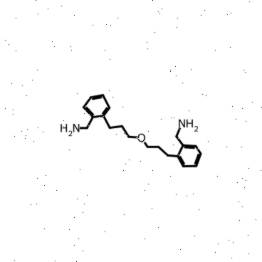 NCc1ccccc1CCCOCCCc1ccccc1CN